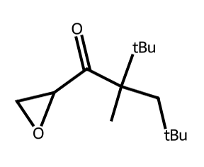 CC(C)(C)CC(C)(C(=O)C1CO1)C(C)(C)C